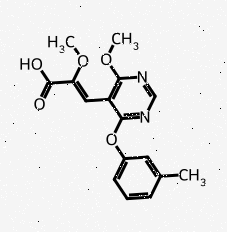 COC(=Cc1c(OC)ncnc1Oc1cccc(C)c1)C(=O)O